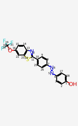 Oc1ccc(N=Nc2ccc(-c3nc4ccc(OC(F)(F)F)cc4s3)cc2)cc1